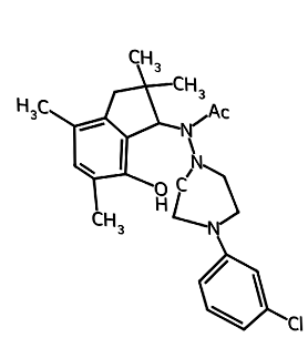 CC(=O)N(C1c2c(O)c(C)cc(C)c2CC1(C)C)N1CCN(c2cccc(Cl)c2)CC1